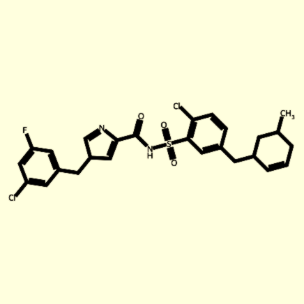 CC1CC=CC(Cc2ccc(Cl)c(S(=O)(=O)NC(=O)C3=CC(Cc4cc(F)cc(Cl)c4)C=N3)c2)C1